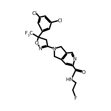 O=C(NCCF)c1cc2c(cn1)CN(C1=NOC(c3cc(Cl)cc(Cl)c3)(C(F)(F)F)C1)C2